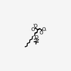 CCCCCCC[C@@H](/C=C/C(=C\C(=O)OC)C(=O)OC)O[Si](C)(C)C(C)(C)C